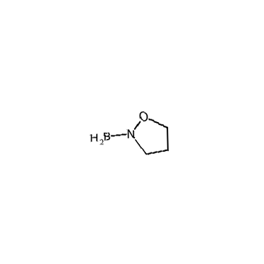 BN1CCCO1